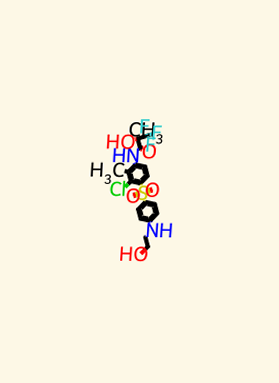 Cc1c(NC(=O)[C@@](C)(O)C(F)(F)F)ccc(S(=O)(=O)c2ccc(NCCO)cc2)c1Cl